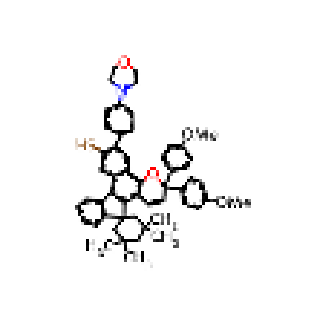 COc1ccc(C2(c3ccc(OC)cc3)C=Cc3c4c(c5cc(S)c(-c6ccc(N7CCOCC7)cc6)cc5c3O2)-c2ccccc2C42CC(C)(C)CC(C)(C)C2)cc1